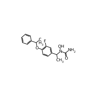 CC(Oc1ccc(C(C)N(O)C(N)=O)cc1F)c1ccccc1